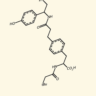 CC(C)CC(NC(=O)CCc1ccc(CC(NC(=O)CC(C)(C)C)C(=O)O)cc1)c1ccc(O)cc1